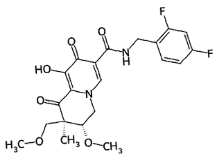 COC[C@@]1(C)C(=O)c2c(O)c(=O)c(C(=O)NCc3ccc(F)cc3F)cn2C[C@@H]1OC